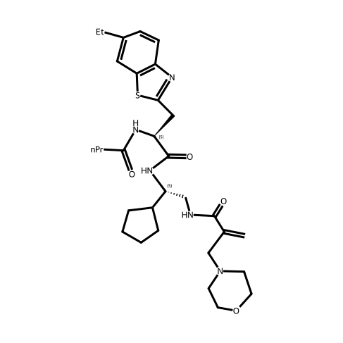 C=C(CN1CCOCC1)C(=O)NC[C@@H](NC(=O)[C@H](Cc1nc2ccc(CC)cc2s1)NC(=O)CCC)C1CCCC1